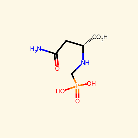 NC(=O)C[C@@H](NCP(=O)(O)O)C(=O)O